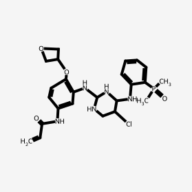 C=CC(=O)Nc1ccc(OC2COC2)c(NC2NCC(Cl)C(Nc3ccccc3P(C)(C)=O)N2)c1